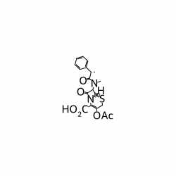 CC(=O)OC1=C(C(=O)O)N2C(=O)C(N(C)C(=O)[CH]c3ccccc3)[C@@H]2SC1